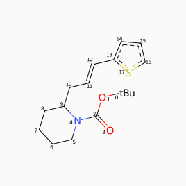 CC(C)(C)OC(=O)N1CCCCC1CC=Cc1cccs1